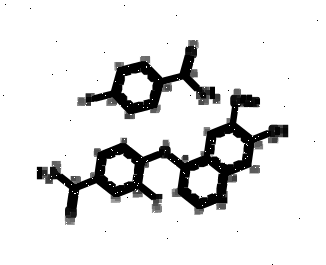 COc1cc2c(Oc3ccc(C(N)=O)cc3F)ccnc2cc1O.NC(=O)c1ccc(F)cc1